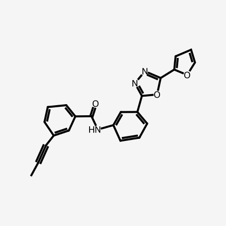 CC#Cc1cccc(C(=O)Nc2cccc(-c3nnc(-c4ccco4)o3)c2)c1